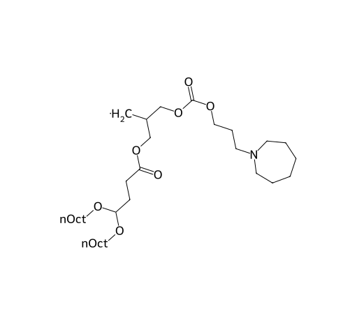 [CH2]C(COC(=O)CCC(OCCCCCCCC)OCCCCCCCC)COC(=O)OCCCN1CCCCCC1